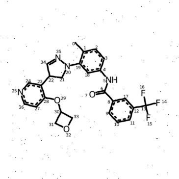 Cc1ccc(NC(=O)c2cccc(C(F)(F)F)c2)cc1N1CC(c2cnccc2OC2COC2)C=N1